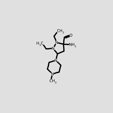 CCN1C(N2CCN(C)CC2)CC(N)(C=O)N1CC